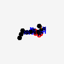 CN(C)CCC(CSc1ccccc1)Nc1ccc(S(=O)(=O)Nc2ncnc3cc(N4CCN(Cc5ccccc5-c5ccc(-c6ccccc6)cc5)CC4)ccc23)cc1[N+](=O)[O-]